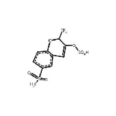 CS(=O)(=O)c1ccc2c(c1)C=C(OC(=O)O)C(C(F)(F)F)O2